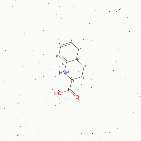 O=C(O)C1CCC2CC=CC=C2N1